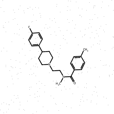 Cc1ccc(C(=O)N(C)CCN2CCC(c3ccc(F)cc3)CC2)cc1